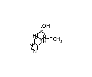 CCCN1C[C@H](CO)C[C@H]2Cc3ncncc3C[C@@H]21